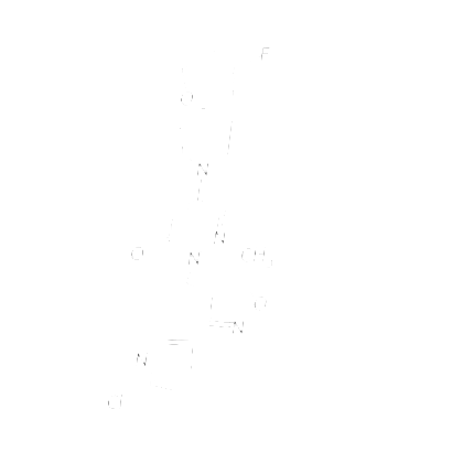 Cc1onc(-c2ccc(Cl)nc2)c1Cn1ncc(N2CCC3(CC2)CC(F)CCO3)cc1=O